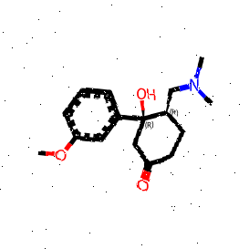 COc1cccc([C@@]2(O)CC(=O)CC[C@@H]2CN(C)C)c1